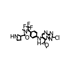 CO[C@@H](C)c1c(Nc2ccc([C@H](N(C)C(=O)C3CCNC3)C(F)(F)F)cc2)cnc2nc(Cl)nn12